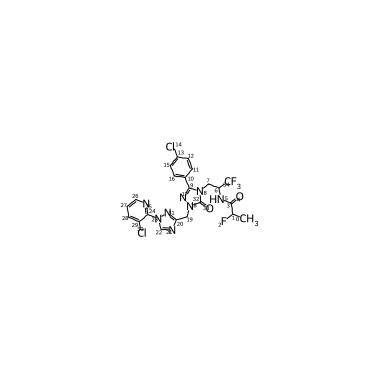 CC(F)C(=O)NC(Cn1c(-c2ccc(Cl)cc2)nn(Cc2ncn(-c3ncccc3Cl)n2)c1=O)C(F)(F)F